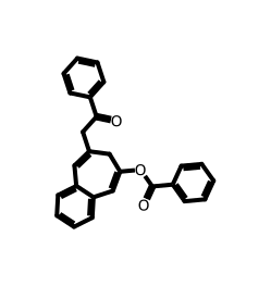 O=C(CC1=Cc2ccccc2C=C(OC(=O)c2ccccc2)C1)c1ccccc1